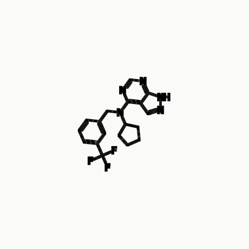 FC(F)(F)c1cccc(CN(c2ncnc3[nH]ncc23)C2CCCC2)c1